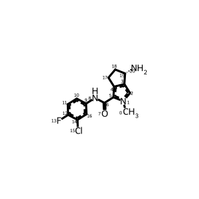 Cn1cc2c(c1C(=O)Nc1ccc(F)c(Cl)c1)CC[C@@H]2N